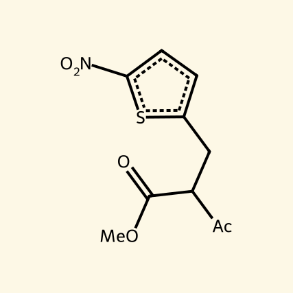 COC(=O)C(Cc1ccc([N+](=O)[O-])s1)C(C)=O